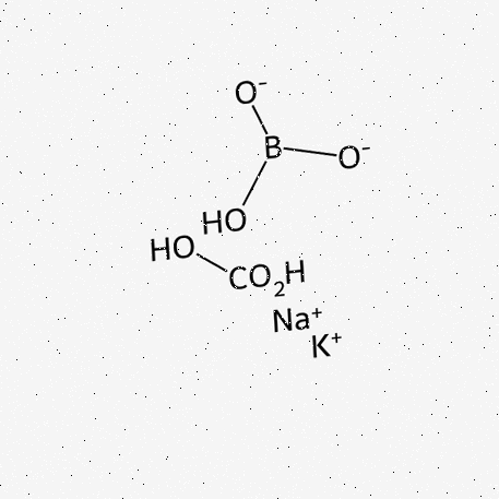 O=C(O)O.[K+].[Na+].[O-]B([O-])O